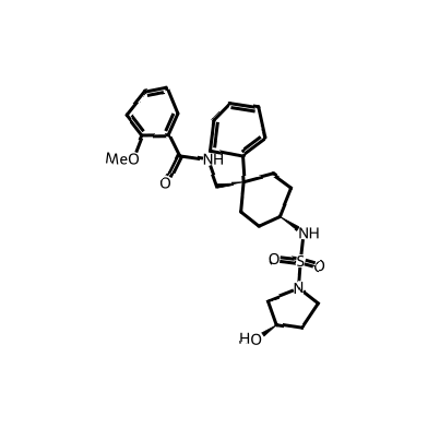 COc1ccccc1C(=O)NC[C@]1(c2ccccc2)CC[C@H](NS(=O)(=O)N2CC[C@@H](O)C2)CC1